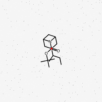 CCC(C)N1CC2CC(C1)N2C(=O)OC(C)(C)C